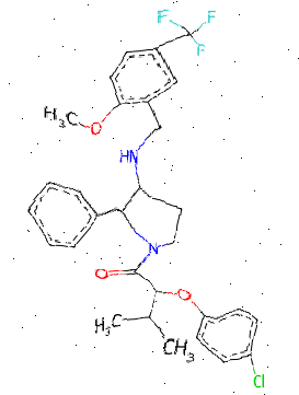 COc1ccc(C(F)(F)F)cc1CNC1CCN(C(=O)C(Oc2ccc(Cl)cc2)C(C)C)C1c1ccccc1